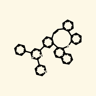 C1=C\c2ccc(-c3cc(-c4ccccc4)nc(-c4cccnc4)n3)cc2-c2ccc3ccccc3c2Sc2ccccc2-c2ccccc2/1